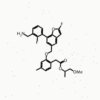 COCC(C)OC(=O)Cc1ccc(C)cc1OCc1cc(-c2cccc(CN)c2F)c2oc(F)cc2c1